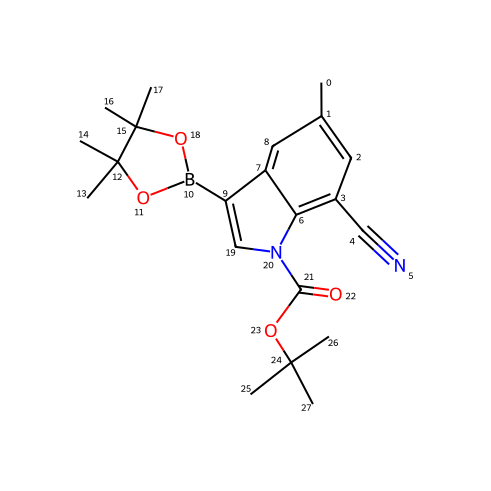 Cc1cc(C#N)c2c(c1)c(B1OC(C)(C)C(C)(C)O1)cn2C(=O)OC(C)(C)C